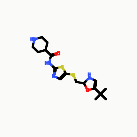 CC(C)(C)C1=CNC(CSc2cnc(NC(=O)C3CCNCC3)s2)O1